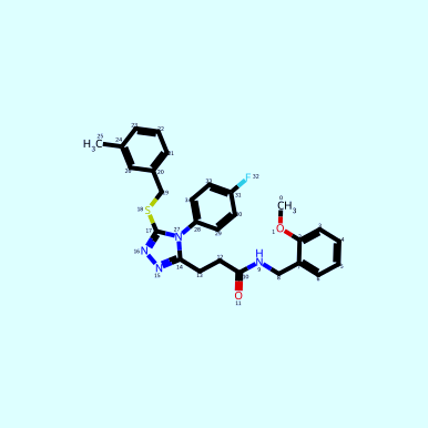 COc1ccccc1CNC(=O)CCc1nnc(SCc2cccc(C)c2)n1-c1ccc(F)cc1